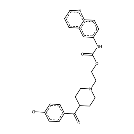 O=C(Nc1ccc2ncccc2c1)OCCN1CCC(C(=O)c2ccc(Cl)cc2)CC1